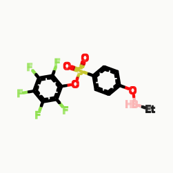 CCBOc1ccc(S(=O)(=O)Oc2c(F)c(F)c(F)c(F)c2F)cc1